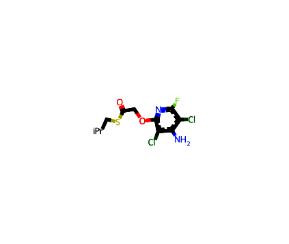 CC(C)CSC(=O)COc1nc(F)c(Cl)c(N)c1Cl